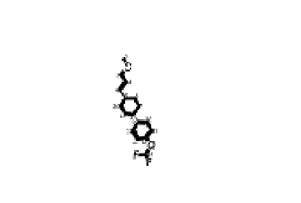 COCC=C[C@H]1CC[C@H](c2ccc(OC(F)F)cc2)CC1